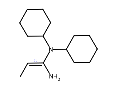 C/C=C(\N)N(C1CCCCC1)C1CCCCC1